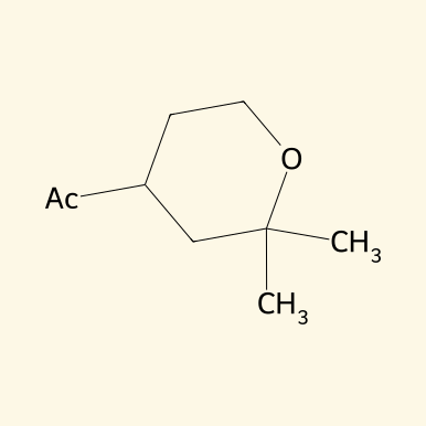 CC(=O)C1CCOC(C)(C)C1